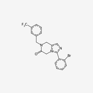 O=C1Cn2c(cnc2-c2ccccc2Br)CN1Cc1cccc(C(F)(F)F)c1